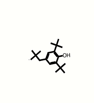 [CH2]C(C)(C)Cc1cc(C(C)(C)C)c(O)c(C(C)(C)C)c1